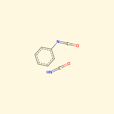 N=C=O.O=C=Nc1ccccc1